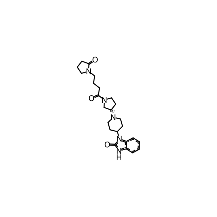 O=C1CCCN1CCCC(=O)N1CC[C@H](N2CCC(n3c(=O)[nH]c4ccccc43)CC2)C1